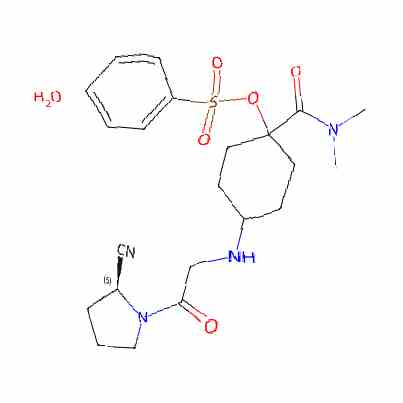 CN(C)C(=O)C1(OS(=O)(=O)c2ccccc2)CCC(NCC(=O)N2CCC[C@H]2C#N)CC1.O